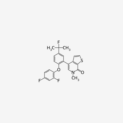 Cn1cc(-c2cc(C(C)(C)F)ccc2Oc2ccc(F)cc2F)c2ccsc2c1=O